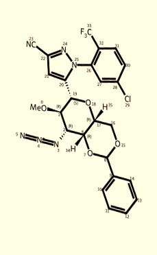 CO[C@@H]1[C@@H](N=[N+]=[N-])[C@H]2OC(c3ccccc3)OC[C@H]2O[C@H]1c1cc(C#N)nn1-c1cc(Cl)ccc1C(F)(F)F